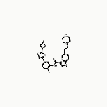 Cc1ccc(-c2noc(C3CN(C)C3)n2)cc1NC(=O)c1cnc2ccc(CCN3CCOCC3)cn12